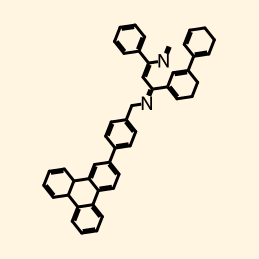 C=N/C(=C\C(=N/Cc1ccc(-c2ccc3c(c2)C2C=CC=CC2c2ccccc2-3)cc1)C1=CCCC(C2=CCCC=C2)=C1)c1ccccc1